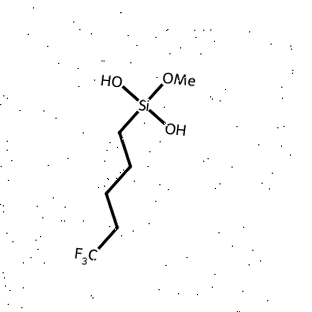 CO[Si](O)(O)CCCCC(F)(F)F